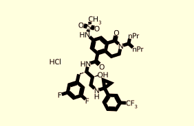 CCCC(CCC)N1CCc2c(C(=O)N[C@@H](Cc3cc(F)cc(F)c3)[C@H](O)CNC3(c4cccc(C(F)(F)F)c4)CC3)cc(NS(C)(=O)=O)cc2C1=O.Cl